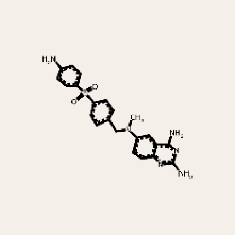 CN(Cc1ccc(S(=O)(=O)c2ccc(N)cc2)cc1)c1ccc2nc(N)nc(N)c2c1